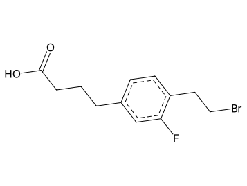 O=C(O)CCCc1ccc(CCBr)c(F)c1